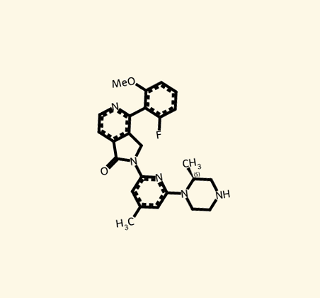 COc1cccc(F)c1-c1nccc2c1CN(c1cc(C)cc(N3CCNC[C@@H]3C)n1)C2=O